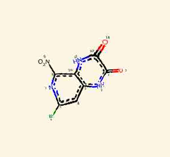 O=c1[nH]c2cc(Br)nc([N+](=O)[O-])c2[nH]c1=O